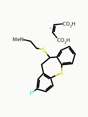 CNCCSC1Cc2cc(F)ccc2Sc2ccccc21.O=C(O)/C=C\C(=O)O